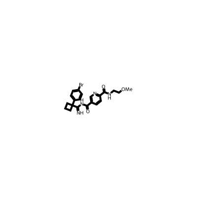 COCCNC(=O)c1ccc(C(=O)NC(=N)C2(c3ccc(Br)cc3)CCC2)cn1